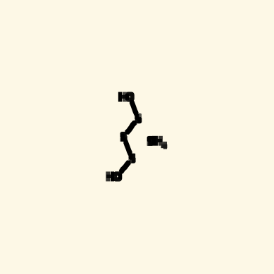 OSSSO.[SiH4]